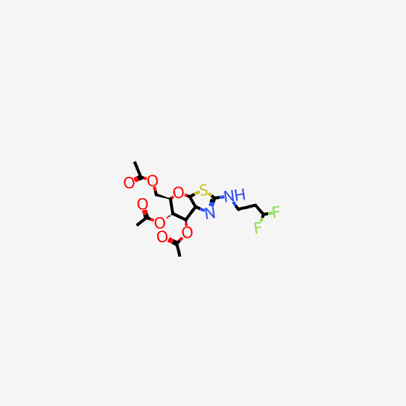 CC(=O)OC[C@H]1OC2SC(NCCC(F)F)=NC2[C@@H](OC(C)=O)[C@@H]1OC(C)=O